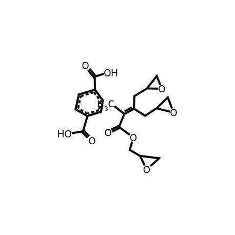 CC(C(=O)OCC1CO1)=C(CC1CO1)CC1CO1.O=C(O)c1ccc(C(=O)O)cc1